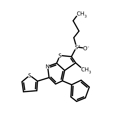 CCCC[S+]([O-])c1sc2nc(-c3cccs3)cc(-c3ccccc3)c2c1C